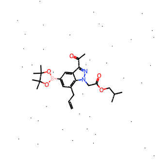 C=CCc1cc(B2OC(C)(C)C(C)(C)O2)cc2c(C(C)=O)nn(CC(=O)OCC(C)C)c12